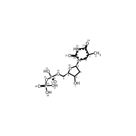 Cc1cn([C@H]2CC(O)[C@@H](COP(=O)(O)OP(=O)(O)O)O2)c(=O)[nH]c1=O